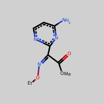 CCO/N=C(\C(=O)OC)c1nccc(N)n1